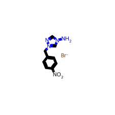 Nn1cn[n+](Cc2ccc([N+](=O)[O-])cc2)c1.[Br-]